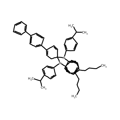 CCCCc1ccc(N(c2ccc(C(C)C)cc2)C2(N(c3ccc(CCCC)cc3)c3ccc(C(C)C)cc3)C=CC(c3ccc(-c4ccccc4)cc3)=CC2)cc1